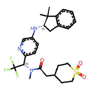 CN(C(=O)CC1CCS(=O)(=O)CC1)[C@@H](c1ccc(N[C@H]2Cc3ccccc3C2(C)C)cn1)C(F)(F)F